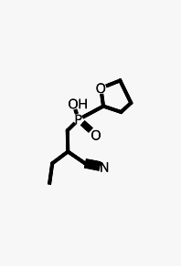 CCC(C#N)CP(=O)(O)C1CCCO1